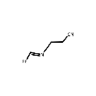 CC/C=N/CCC#N